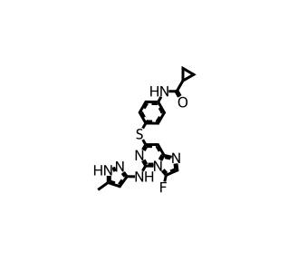 Cc1cc(Nc2nc(Sc3ccc(NC(=O)C4CC4)cc3)cc3ncc(F)n23)n[nH]1